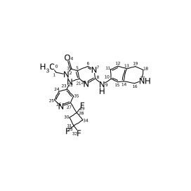 CCn1c(=O)c2cnc(Nc3ccc4c(c3)CNCC4)nc2n1-c1ccnc(C2(F)CC(F)(F)C2)c1